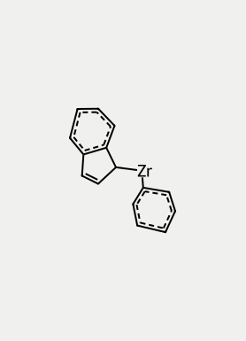 C1=C[CH]([Zr][c]2ccccc2)c2ccccc21